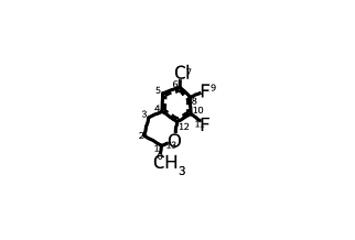 CC1CCc2cc(Cl)c(F)c(F)c2O1